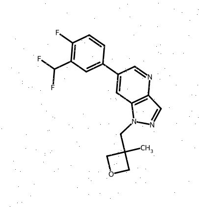 CC1(Cn2ncc3ncc(-c4ccc(F)c(C(F)F)c4)cc32)COC1